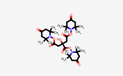 CC1(C)CC(=O)CC(C)(C)N1OC(=O)CC(O)(CC(=O)ON1C(C)(C)CC(=O)CC1(C)C)C(=O)ON1C(C)(C)CC(=O)CC1(C)C